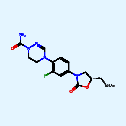 CC(=O)NC[C@H]1CN(c2ccc(N3C=NN(C(N)=O)CC3)c(F)c2)C(=O)O1